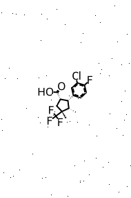 C[C@H]1[C@@H](c2ccc(F)c(Cl)c2)[C@@H](C(=O)O)C[C@@]1(C)C(F)(F)F